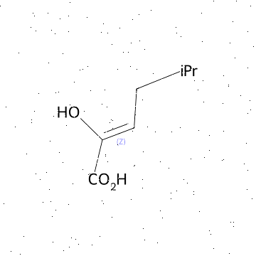 CC(C)C/C=C(\O)C(=O)O